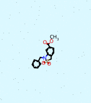 COC(=O)c1ccc2c(c1)N(Cc1ccccc1)S(=O)(=O)C2